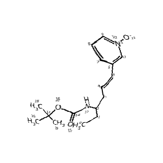 CCC(CC=Cc1ccc[n+]([O-])c1)NC(=O)OC(C)(C)C